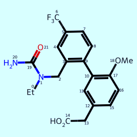 CCN(Cc1cc(C(F)(F)F)ccc1-c1cc(CC(=O)O)ccc1OC)C(N)=O